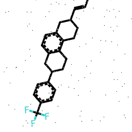 CCC=CC1CCc2c(ccc3c2CCC(c2ccc(C(F)(F)F)cc2)C3)C1